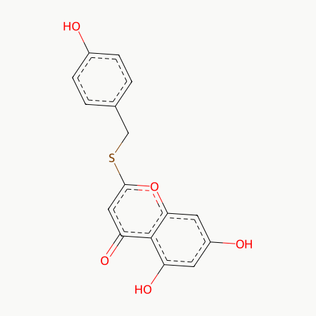 O=c1cc(SCc2ccc(O)cc2)oc2cc(O)cc(O)c12